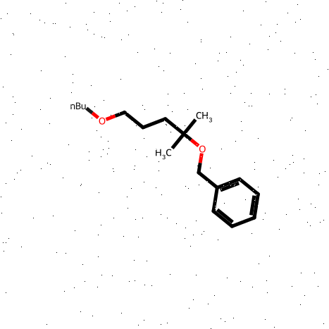 CCCCOCCCC(C)(C)OCc1ccccc1